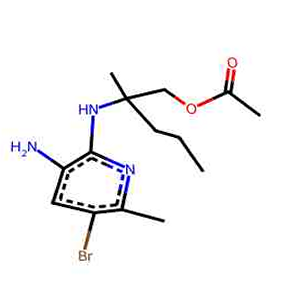 CCCC(C)(COC(C)=O)Nc1nc(C)c(Br)cc1N